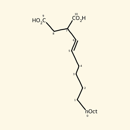 CCCCCCCCCCCCC=CC(CC(=O)O)C(=O)O